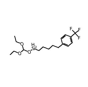 CCOC(OCC)O[SiH2]CCCCCc1ccc(C(F)(F)F)cc1